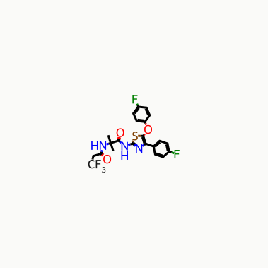 CC(C)(NC(=O)CC(F)(F)F)C(=O)Nc1nc(-c2ccc(F)cc2)c(Oc2ccc(F)cc2)s1